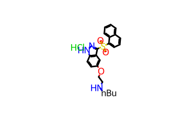 CCCCNCCOc1ccc2[nH]nc(S(=O)(=O)c3cccc4ccccc34)c2c1.Cl